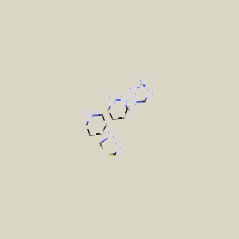 c1ccncc1.c1ccnnc1.c1nncs1.c1nnn[nH]1